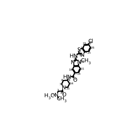 CN(C)CC(=O)N1CCC(NC(=O)c2ccc3c(c2)nc(Nc2nc4ccc(Cl)cc4s2)n3C)CC1